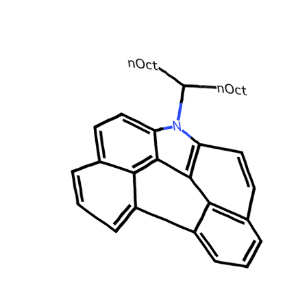 CCCCCCCCC(CCCCCCCC)n1c2ccc3cccc4c5cccc6ccc1c(c65)c2c34